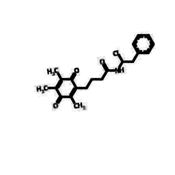 CC1=C(C)C(=O)C(CCCC(=O)NC(Cl)Cc2ccccc2)=C(C)C1=O